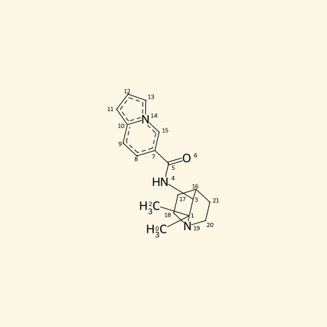 CC1(C)C(NC(=O)c2ccc3cccn3c2)C2CCN1CC2